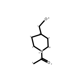 CC(=O)N1CCC(C[O])CC1